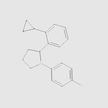 Brc1ccc(N2CCCC2c2ccccc2C2CC2)cc1